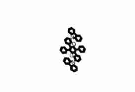 c1ccc(-c2c3oc4c(-n5c6ccccc6c6ccccc65)cccc4c3c(-c3ccccc3)c3oc4c(-n5c6ccccc6c6ccccc65)cccc4c23)cc1